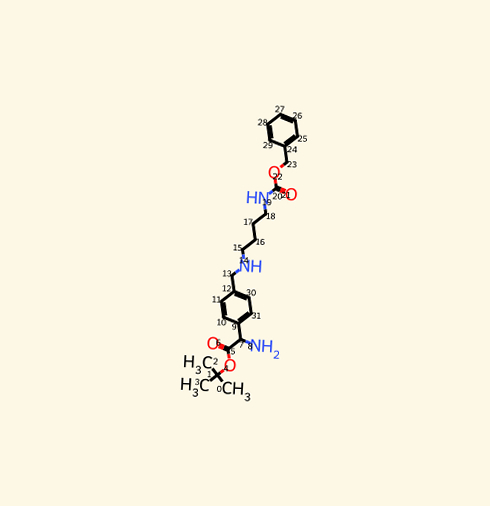 CC(C)(C)OC(=O)C(N)c1ccc(CNCCCCNC(=O)OCc2ccccc2)cc1